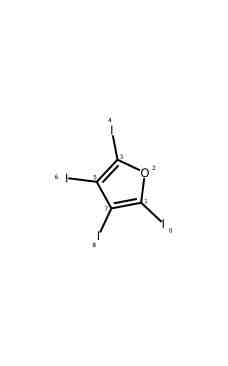 Ic1oc(I)c(I)c1I